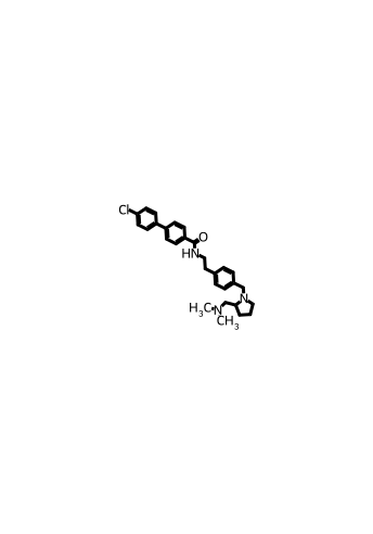 CN(C)CC1CCCN1Cc1ccc(CCNC(=O)c2ccc(-c3ccc(Cl)cc3)cc2)cc1